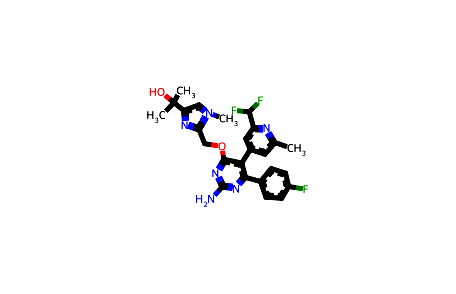 Cc1cc(-c2c(OCc3nc(C(C)(C)O)cn3C)nc(N)nc2-c2ccc(F)cc2)cc(C(F)F)n1